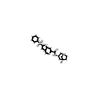 O=C(N[C@@H]1C[C@@H]2CCN(C2)C1)c1cc2sc(S(=O)(=O)c3ccccc3)cc2cn1